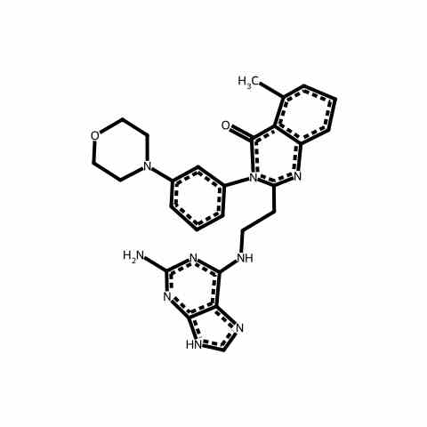 Cc1cccc2nc(CCNc3nc(N)nc4[nH]cnc34)n(-c3cccc(N4CCOCC4)c3)c(=O)c12